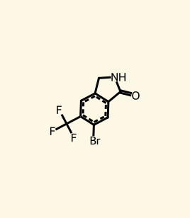 O=C1NCc2cc(C(F)(F)F)c(Br)cc21